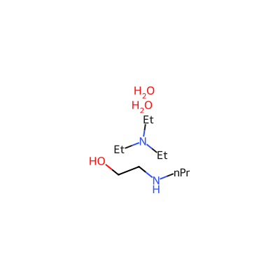 CCCNCCO.CCN(CC)CC.O.O